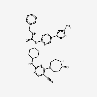 Cn1cc(-c2ccc(N(C(=O)NCc3ccccc3)[C@H]3CC[C@H](Nc4ncc(C#N)c(N5CCNC(=O)CC5)n4)CC3)nc2)cn1